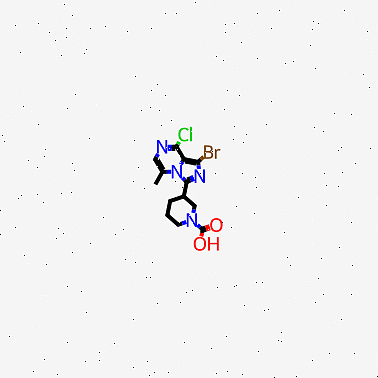 Cc1cnc(Cl)c2c(Br)nc(C3CCCN(C(=O)O)C3)n12